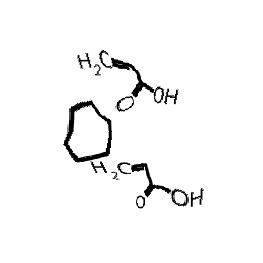 C1CCCCC1.C=CC(=O)O.C=CC(=O)O